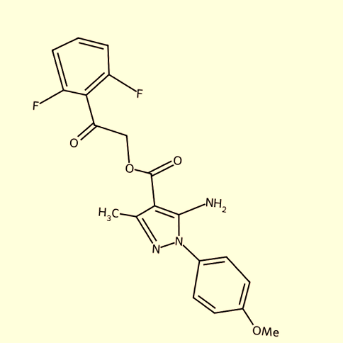 COc1ccc(-n2nc(C)c(C(=O)OCC(=O)c3c(F)cccc3F)c2N)cc1